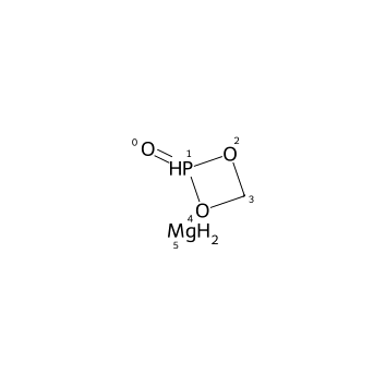 O=[PH]1OCO1.[MgH2]